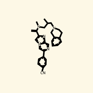 C=C(c1cn2cc(-c3ccc(C#N)cc3)ncc2n1)N(C)CC(C)CN1CCc2ccccc2C1